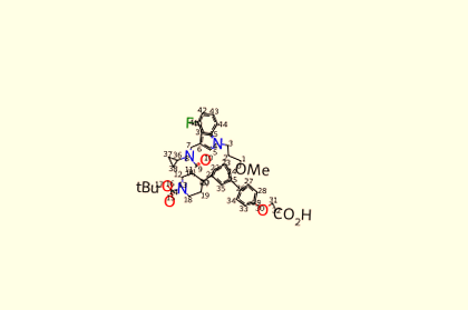 COCCCn1cc(CN(C(=O)[C@H]2CN(C(=O)OC(C)(C)C)CC[C@@H]2c2cccc(-c3ccc(OCC(=O)O)cc3)c2)C2CC2)c2c(F)cccc21